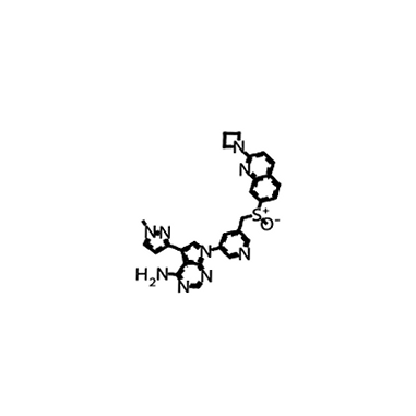 Cn1ccc(-c2cn(-c3cncc(C[S+]([O-])c4ccc5ccc(N6CCC6)nc5c4)c3)c3ncnc(N)c23)n1